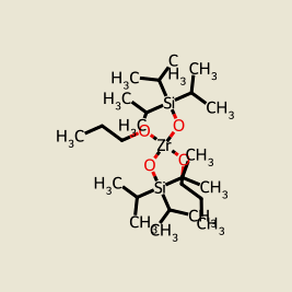 CCC[O][Zr]([O]CCC)([O][Si](C(C)C)(C(C)C)C(C)C)[O][Si](C(C)C)(C(C)C)C(C)C